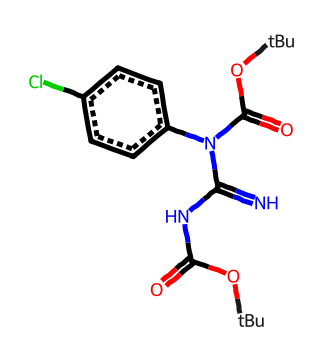 CC(C)(C)OC(=O)NC(=N)N(C(=O)OC(C)(C)C)c1ccc(Cl)cc1